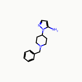 Nc1ccnn1C1CCN(Cc2ccccc2)CC1